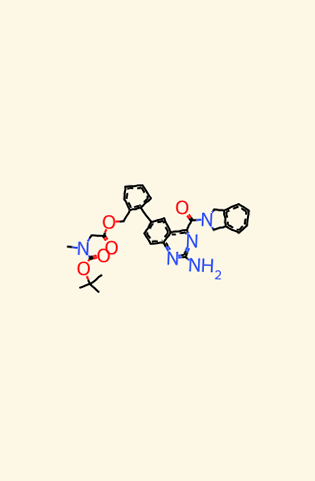 CN(CC(=O)OCc1ccccc1-c1ccc2nc(N)nc(C(=O)N3Cc4ccccc4C3)c2c1)C(=O)OC(C)(C)C